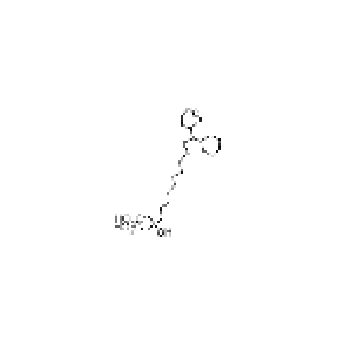 O=C(O)CC(O)(CCCCCCCCCCC(C1CCCCC1)C1CCCCC1)CC(=O)O